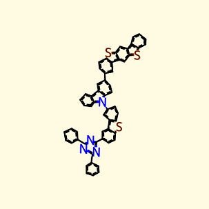 c1ccc(-c2nc(-c3ccccc3)nc(-c3ccc4sc5ccc(-n6c7ccccc7c7cc(-c8ccc9sc%10cc%11c(cc%10c9c8)sc8ccccc8%11)ccc76)cc5c4c3)n2)cc1